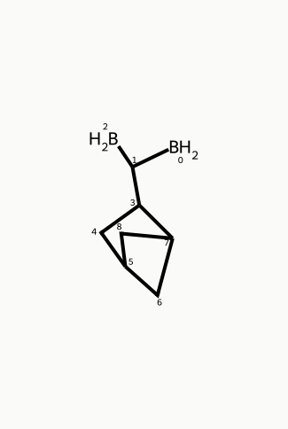 BC(B)C1CC2CC1C2